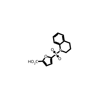 O=C(O)c1ccc(S(=O)(=O)N2CCCc3ccccc32)o1